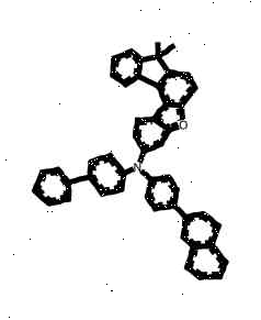 CC1(C)c2ccccc2-c2c1ccc1oc3cc(N(c4ccc(-c5ccccc5)cc4)c4ccc(-c5ccc6ccccc6c5)cc4)ccc3c21